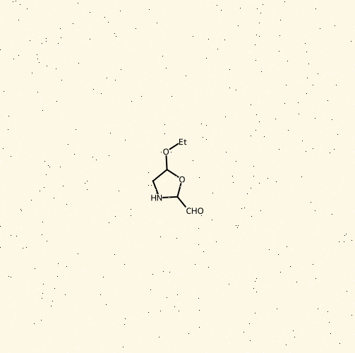 CCOC1CNC(C=O)O1